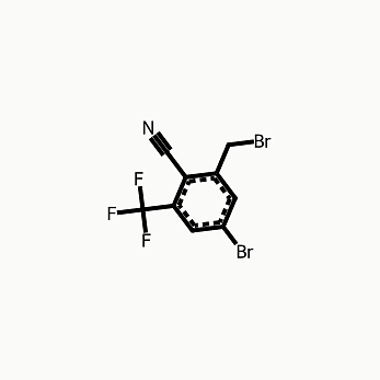 N#Cc1c(CBr)cc(Br)cc1C(F)(F)F